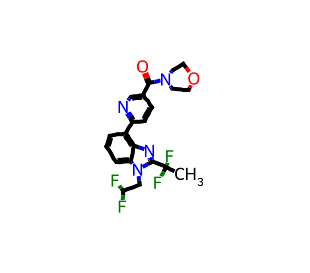 CC(F)(F)c1nc2c(-c3ccc(C(=O)N4CCOCC4)cn3)cccc2n1CC(F)F